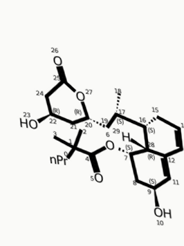 CCCC(C)(C)C(=O)O[C@H]1C[C@H](O)C=C2C=CC[C@@H]([C@@H](C)C[C@@H]3C[C@@H](O)CC(=O)O3)[C@H]21